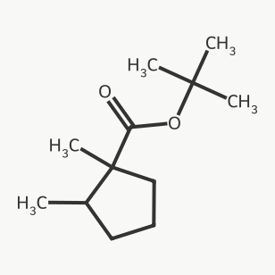 CC1CCCC1(C)C(=O)OC(C)(C)C